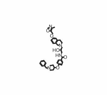 Cc1ncoc1COc1ccc2c(c1)CCN(C[C@@H](O)CNC(=O)c1ccc(OC3CCN(Cc4ccccc4)CC3)cc1)C2